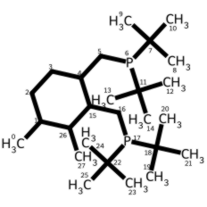 CC1CCC(CP(C(C)(C)C)C(C)(C)C)C(CP(C(C)(C)C)C(C)(C)C)C1C